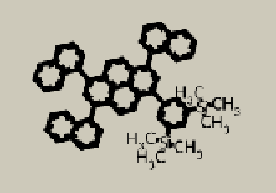 C[Si](C)(C)c1cc(-c2cc(-c3cccc4ccccc34)c3ccc4c(-c5cccc6ccccc56)cc(-c5cccc6ccccc56)c5ccc2c3c54)cc([Si](C)(C)C)c1